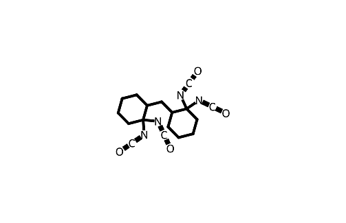 O=C=NC1(N=C=O)CCCCC1CC1CCCCC1(N=C=O)N=C=O